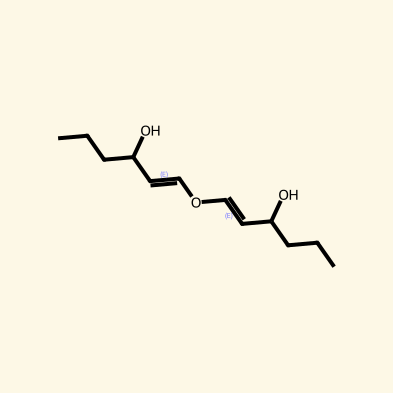 CCCC(O)/C=C/O/C=C/C(O)CCC